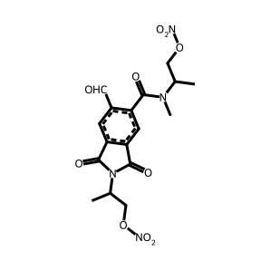 CC(CO[N+](=O)[O-])N(C)C(=O)c1cc2c(cc1C=O)C(=O)N(C(C)CO[N+](=O)[O-])C2=O